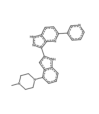 CN1CCN(c2cccc3[nH]c(-c4n[nH]c5ccc(-c6cccnc6)nc45)cc23)CC1